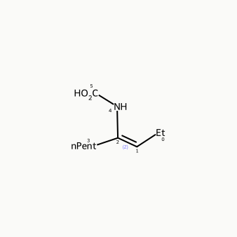 CC/C=C(/CCCCC)NC(=O)O